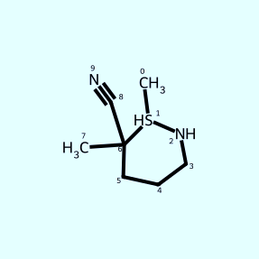 C[SH]1NCCCC1(C)C#N